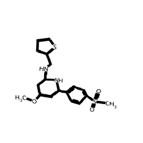 COC1CC(NCC2CCCS2)NC(c2ccc(S(C)(=O)=O)cc2)C1